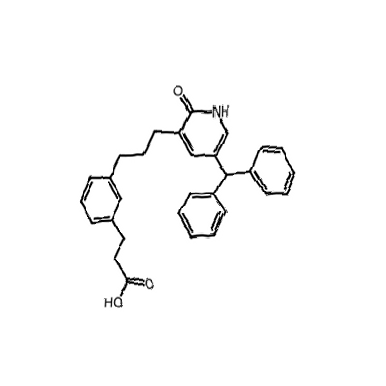 O=C(O)CCc1cccc(CCCc2cc(C(c3ccccc3)c3ccccc3)c[nH]c2=O)c1